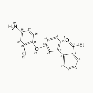 CCC(=O)c1ccccc1-c1cccc(Oc2ccc(N)cc2Cl)c1